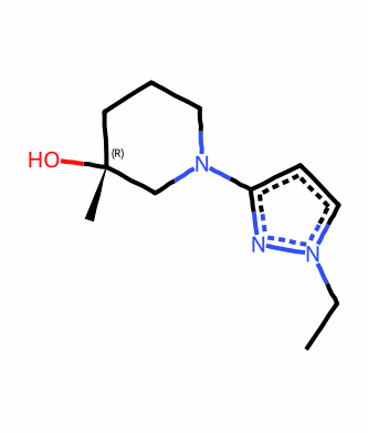 CCn1ccc(N2CCC[C@@](C)(O)C2)n1